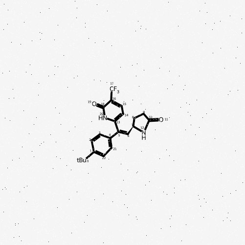 CC(C)(C)c1ccc(C(=C[C@H]2CCC(=O)N2)c2ccc(C(F)(F)F)c(=O)[nH]2)cc1